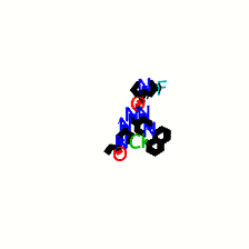 C=CC(=O)N1CCC(N(C)c2nc(OC[C@]34CCCN3C[C@@H](F)C4)nc3c2CCN(c2cccc4cccc(Cl)c24)C3)C1